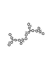 CC1(C)c2ccccc2-c2ccc(N(c3ccc(-c4ccccc4)cc3)c3ccc(-c4ccc5c(c4)c4ccccc4c4sc(-c6cccc(-c7ccc8c(c7)-c7ccc(N(c9ccc(-c%10ccc%11c(c%10)c%10ccccc%10c%10sc(-c%12ccccc%12)nc%11%10)cc9)c9ccc%10c(c9)C(C)(C)c9ccccc9-%10)cc7C8(C)C)c6)nc54)cc3)cc21